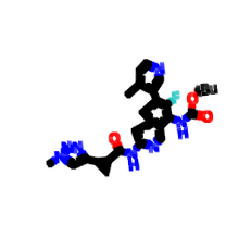 Cc1ccncc1-c1cc2cc(NC(=O)C3CC3c3cn(C)nn3)ncc2c(NC(=O)OC(C)(C)C)c1F